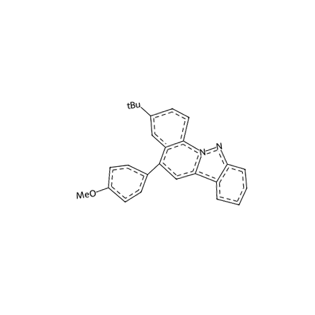 COc1ccc(-c2cc3c4ccccc4nn3c3ccc(C(C)(C)C)cc23)cc1